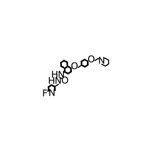 O=C(NCc1ccc(F)nc1)Nc1ccc(OCc2ccc(OCCN3CCCCC3)cc2)c2ccccc12